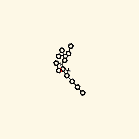 CC1(C)c2cc(-c3ccc(-c4ccc(-c5ccccc5)cc4)cc3)ccc2-c2ccc(N(c3ccc4c(c3)C(c3ccccc3)(c3ccccc3)c3cc(-c5ccccc5)ccc3-4)c3ccccc3-c3ccccc3)cc21